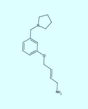 NCC=CCOc1cccc(CN2CCCC2)c1